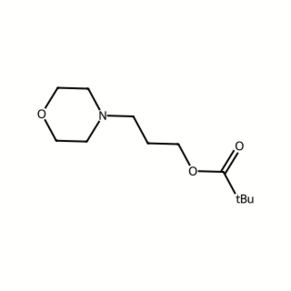 CC(C)(C)C(=O)OCCCN1CCOCC1